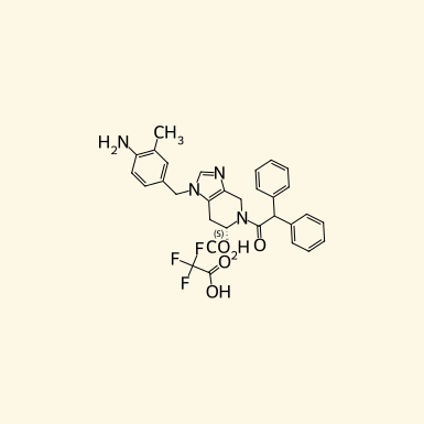 Cc1cc(Cn2cnc3c2C[C@@H](C(=O)O)N(C(=O)C(c2ccccc2)c2ccccc2)C3)ccc1N.O=C(O)C(F)(F)F